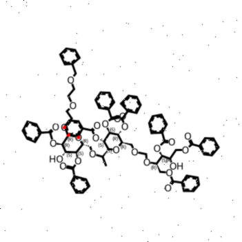 CC(OC[C@H]1O[C@@H](OCCOCCOCc2ccccc2)[C@H](OC(=O)c2ccccc2)[C@@H](O)[C@@H]1OC(=O)c1ccccc1)[C@@H]1O[C@H](COCO[C@H](COC(=O)c2ccccc2)[C@@H](OC(=O)c2ccccc2)[C@H](O)COC(=O)c2ccccc2)[C@@H](OC(=O)c2ccccc2)[C@H](OC(=O)c2ccccc2)[C@H]1OC(=O)c1ccccc1